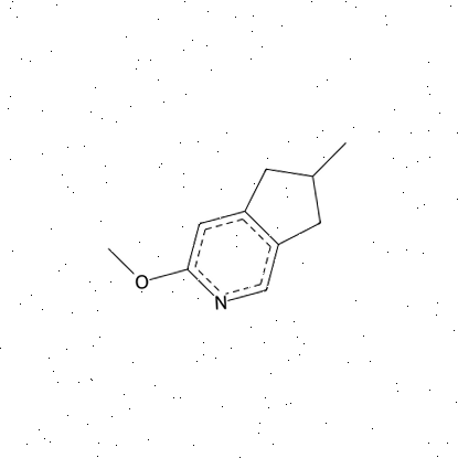 COc1cc2c(cn1)CC(C)C2